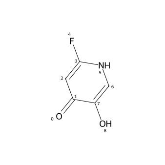 O=c1cc(F)[nH]cc1O